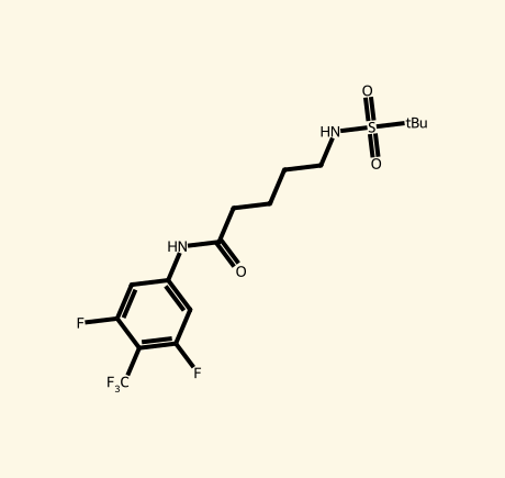 CC(C)(C)S(=O)(=O)NCCCCC(=O)Nc1cc(F)c(C(F)(F)F)c(F)c1